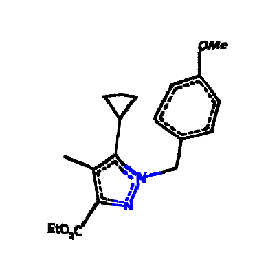 CCOC(=O)c1nn(Cc2ccc(OC)cc2)c(C2CC2)c1C